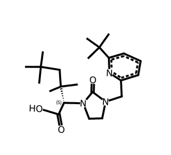 CC(C)(C)CC(C)(C)[C@@H](C(=O)O)N1CCN(Cc2cccc(C(C)(C)C)n2)C1=O